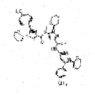 Cc1ccc(-c2cc(NC(=O)c3cc(NC(=O)c4cc(-c5ccc(C)cc5)n(C5CCCCO5)n4)n(C4CCCCO4)n3)nn2C2CCCCO2)cc1